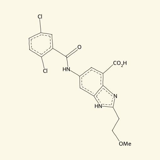 COCCc1nc2c(C(=O)O)cc(NC(=O)c3cc(Cl)ccc3Cl)cc2[nH]1